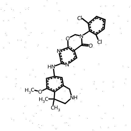 COc1cc(Nc2ncc3c(n2)OCN(c2c(Cl)cccc2Cl)C3=O)cc2c1C(C)(C)CNC2